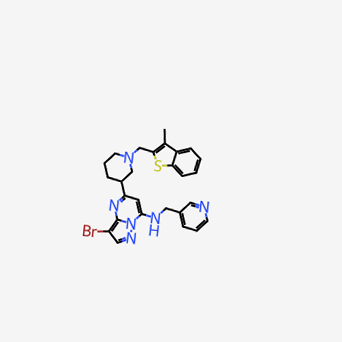 Cc1c(CN2CCCC(c3cc(NCc4cccnc4)n4ncc(Br)c4n3)C2)sc2ccccc12